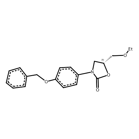 CCOC[C@H]1CN(c2ccc(OCc3ccccc3)cc2)C(=O)O1